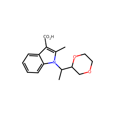 Cc1c(C(=O)O)c2ccccc2n1C(C)C1COCCO1